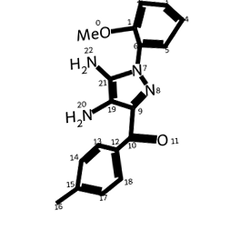 COc1ccccc1-n1nc(C(=O)c2ccc(C)cc2)c(N)c1N